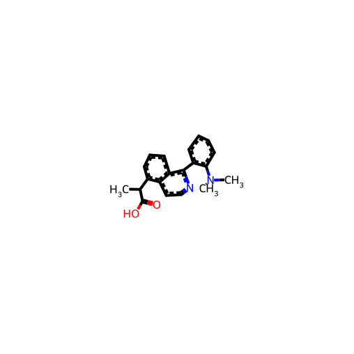 CC(C(=O)O)c1cccc2c(-c3ccccc3N(C)C)nccc12